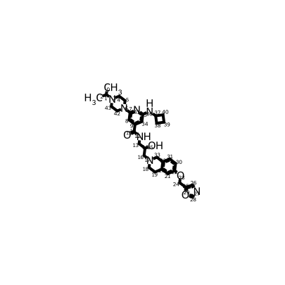 CC(C)N1CCN(c2cc(C(=O)NCC(O)CN3CCc4cc(OCc5cnco5)ccc4C3)cc(NC3CCC3)n2)CC1